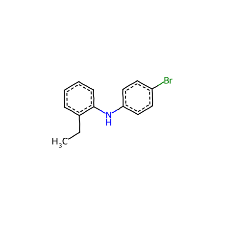 CCc1ccccc1Nc1ccc(Br)cc1